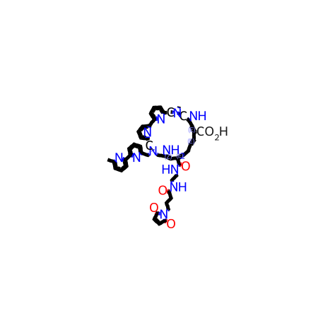 Cc1cccc(-c2cccc(CN3C/C(N)=C/C(C(=O)NCCNC(=O)CCCN4C(=O)C=CC4=O)=C\C/C=C/C(C(=O)O)=C\C(=N)CN(C)Cc4cccc(n4)-c4cccc(n4)C3)n2)n1